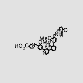 COc1cc(-c2nccc(-c3cccc(-c4ccc(CNC[C@@H]5CCC(=O)N5)c(OC)n4)c3Cl)c2Cl)ccc1CN1CCC(C(=O)O)C1